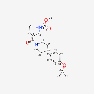 CCC(CNC(=O)OC)C(=O)N1CCC(c2ccc(OC3CC3)cc2)CC1